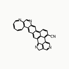 N#Cc1ccc2c3cc4ncc5ncccccc5c4cc3cc3c4c5c(cncc5c1c32)CN=4